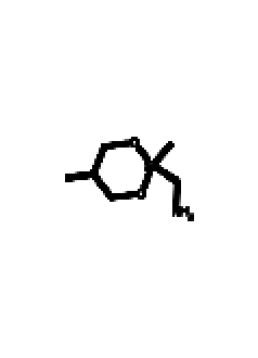 CC1CO[Si](C)(CN)OC1